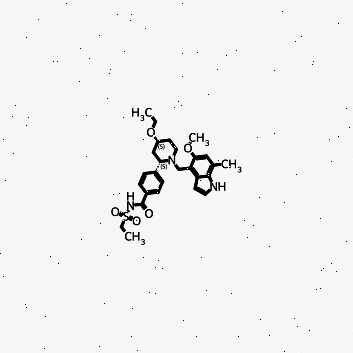 CCO[C@H]1CCN(Cc2c(OC)cc(C)c3[nH]ccc23)[C@H](c2ccc(C(=O)NS(=O)(=O)CC)cc2)C1